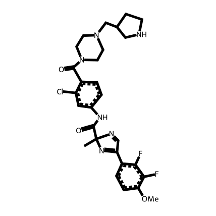 COc1ccc(C2=NC(C)(C(=O)Nc3ccc(C(=O)N4CCN(CC5CCNC5)CC4)c(Cl)c3)N=C2)c(F)c1F